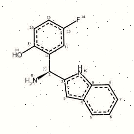 N[C@H](c1cc2ccccc2[nH]1)c1cc(F)ccc1O